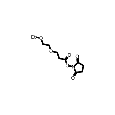 CCOCCOCCC(=O)ON1C(=O)CCC1=O